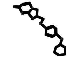 O=c1ccn2c(n1)OC(COc1ccc(OC3CCCCC3)cc1)C2